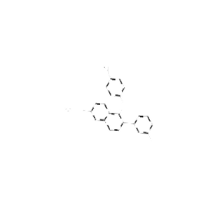 COc1ccc2c(Oc3ccc([N+](=O)[O-])cc3)c(-c3cccc(Cl)c3)ccc2c1